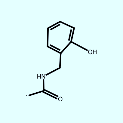 [CH2]C(=O)NCc1ccccc1O